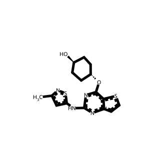 Cc1cc(Nc2nc(O[C@H]3CC[C@H](O)CC3)c3sccc3n2)sn1